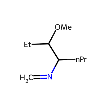 C=NC(CCC)C(CC)OC